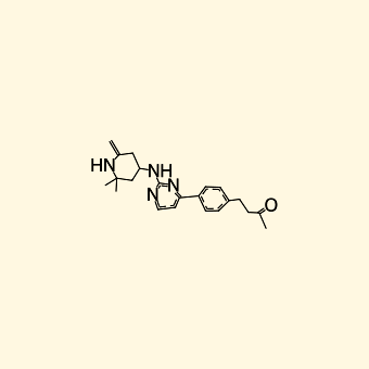 C=C1CC(Nc2nccc(-c3ccc(CCC(C)=O)cc3)n2)CC(C)(C)N1